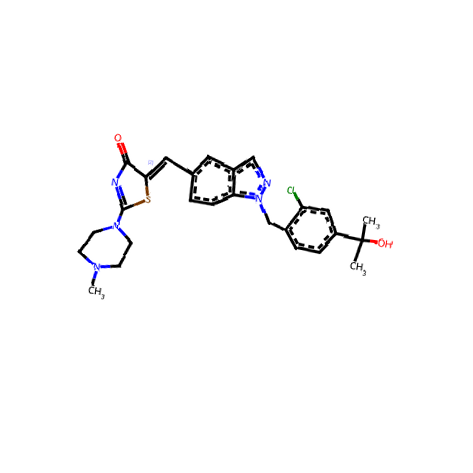 CN1CCN(C2=NC(=O)/C(=C/c3ccc4c(cnn4Cc4ccc(C(C)(C)O)cc4Cl)c3)S2)CC1